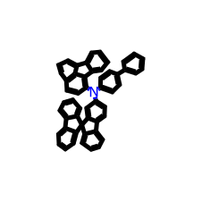 c1ccc(-c2ccc(N(c3ccc4c(c3)C3(c5ccccc5-c5ccccc53)c3ccccc3-4)c3ccc4cccc5c4c3-c3ccccc3-5)cc2)cc1